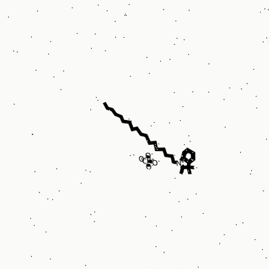 CCCCCCCCCCCCCCCCCC[N+]1=C(C)C(C)(C)c2ccccc21.[O-][Cl+3]([O-])([O-])[O-]